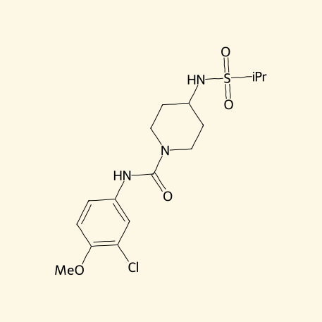 COc1ccc(NC(=O)N2CCC(NS(=O)(=O)C(C)C)CC2)cc1Cl